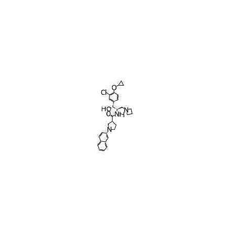 O=C(N[C@H](CN1CCC1)[C@H](O)c1ccc(OC2CC2)c(Cl)c1)C1CCN(c2ccc3ccccc3c2)C1